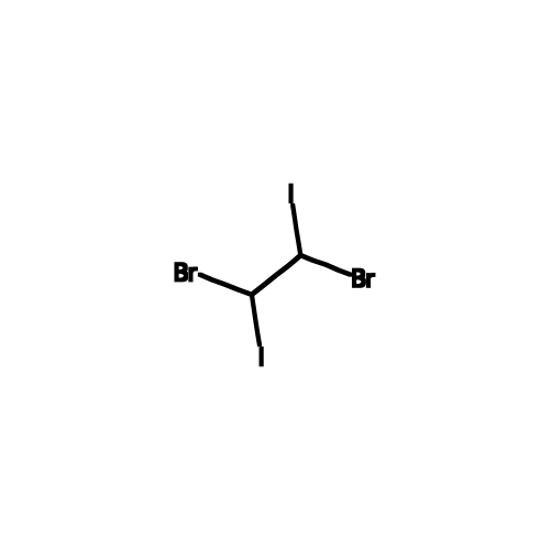 BrC(I)C(Br)I